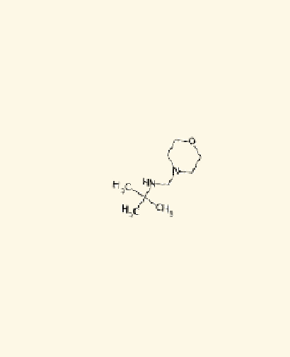 CC(C)(C)NCN1CCOCC1